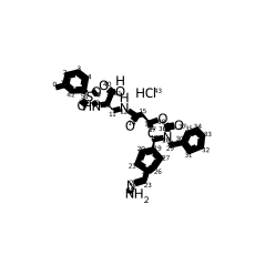 Cc1cccc(S(=O)(=O)N[C@@H](CNC(=O)C[C@@H]2C[C@H](c3ccc(C=NN)cc3)N(Cc3ccccc3)C(=O)O2)C(=O)O)c1.Cl